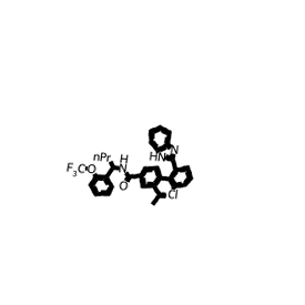 C=C(C)c1cc(C(=O)NC(CCC)c2ccccc2OC(F)(F)F)ccc1-c1c(Cl)cccc1-c1nc2ccccc2[nH]1